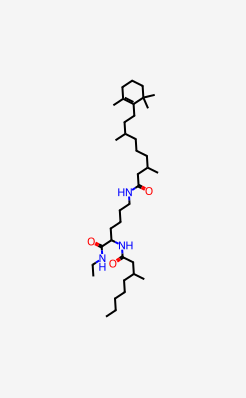 CCCCCC(C)CC(=O)NC(CCCCNC(=O)CC(C)CCCC(C)CCC1=C(C)CCCC1(C)C)C(=O)NCC